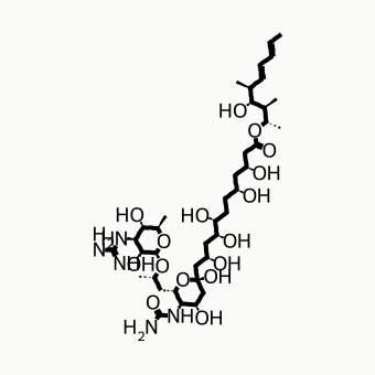 C/C=C/C=C/[C@H](C)[C@@H](O)[C@@H](C)[C@H](C)OC(=O)C[C@H](O)C[C@H](O)CC[C@@H](O)[C@H](O)C[C@H](O)C[C@]1(O)C[C@H](O)[C@@H](NC(N)=O)[C@H](C[C@H](C)O[C@@H]2O[C@H](C)[C@@H](O)[C@H](NC(=N)N)[C@@H]2O)O1